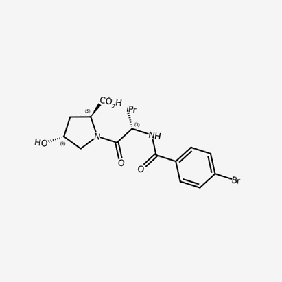 CC(C)[C@H](NC(=O)c1ccc(Br)cc1)C(=O)N1C[C@H](O)C[C@H]1C(=O)O